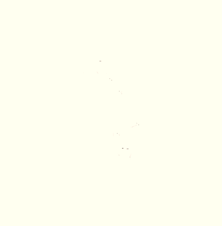 Cc1cccc(-c2ccnc(CCCCN3CCN(c4cccc(C(F)(F)F)c4)CC3)c2N)c1